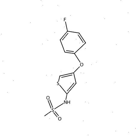 CS(=O)(=O)Nc1cc(Oc2ccc(F)cc2)cs1